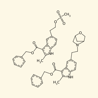 Cc1[nH]c2ccc(CCN3CC4CC3CO4)cc2c1C(=O)OCc1ccccc1.Cc1[nH]c2ccc(CCOS(C)(=O)=O)cc2c1C(=O)OCc1ccccc1